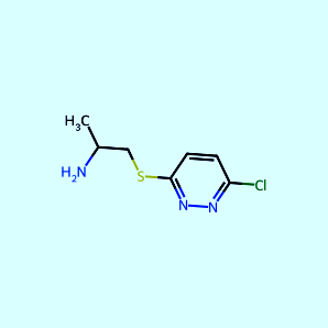 CC(N)CSc1ccc(Cl)nn1